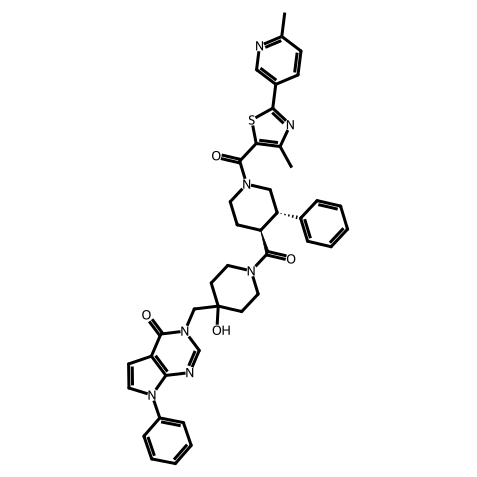 Cc1ccc(-c2nc(C)c(C(=O)N3CC[C@H](C(=O)N4CCC(O)(Cn5cnc6c(ccn6-c6ccccc6)c5=O)CC4)[C@@H](c4ccccc4)C3)s2)cn1